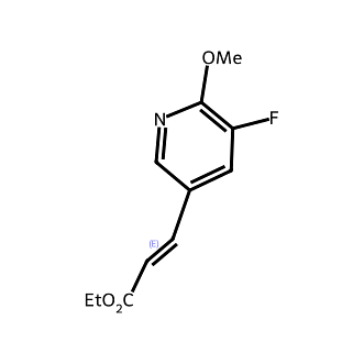 CCOC(=O)/C=C/c1cnc(OC)c(F)c1